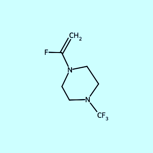 C=C(F)N1CCN(C(F)(F)F)CC1